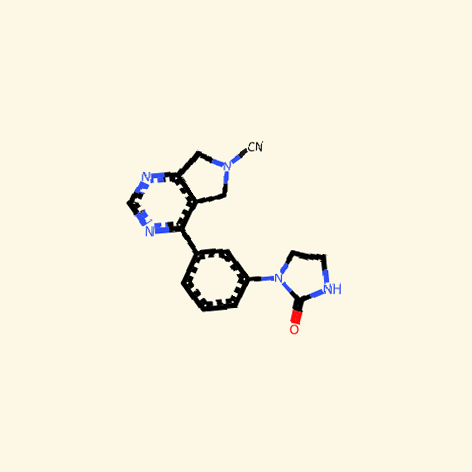 N#CN1Cc2ncnc(-c3cccc(N4CCNC4=O)c3)c2C1